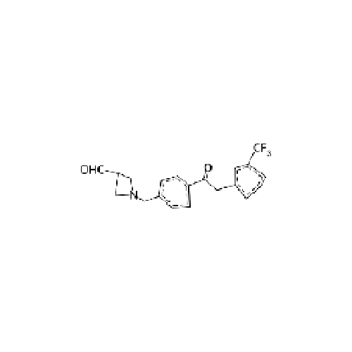 O=CC1CN(Cc2ccc(C(=O)Cc3cccc(C(F)(F)F)c3)cc2)C1